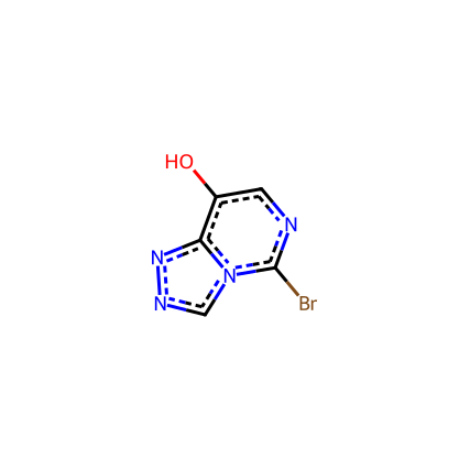 Oc1cnc(Br)n2cnnc12